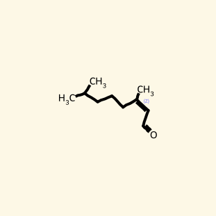 C/C(=C/C=O)CCCC(C)C